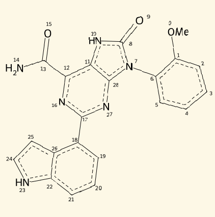 COc1ccccc1-n1c(=O)[nH]c2c(C(N)=O)nc(-c3cccc4[nH]ccc34)nc21